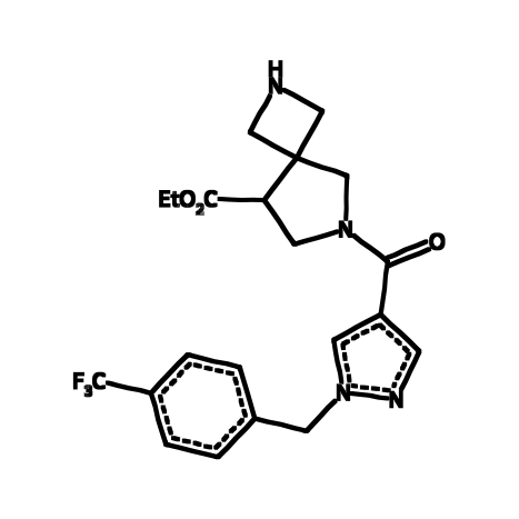 CCOC(=O)C1CN(C(=O)c2cnn(Cc3ccc(C(F)(F)F)cc3)c2)CC12CNC2